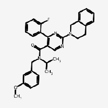 COc1cccc(CN(C(=O)c2cnc(N3CCc4ccccc4C3)nc2-c2ccccc2F)C(C)C)c1